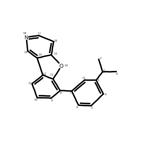 CC(C)c1cccc(-c2cccc3c2oc2ccncc23)c1